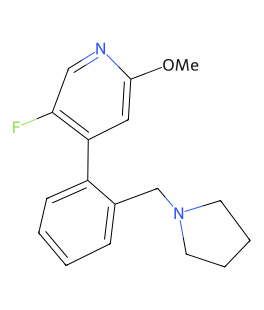 COc1cc(-c2ccccc2CN2CCCC2)c(F)cn1